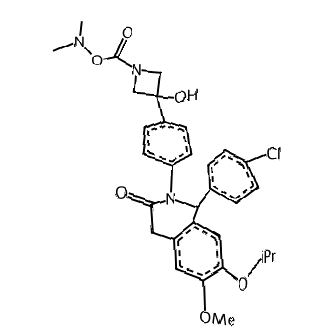 COc1cc2c(cc1OC(C)C)C(c1ccc(Cl)cc1)N(c1ccc(C3(O)CN(C(=O)ON(C)C)C3)cc1)C(=O)C2